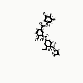 CCC1C[C@@H](S(=O)(=O)c2cc(C(=O)Nc3cc(F)c(F)c(F)c3)ccc2Cl)C[C@H](C)[C@@]1(O)Cn1cccn1